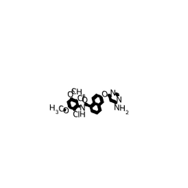 COc1cc(OC)c(Cl)c(NC(=O)c2cccc3cc(Oc4cc(N)ncn4)ccc23)c1Cl